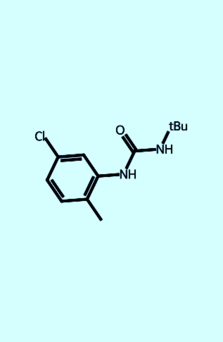 Cc1ccc(Cl)cc1NC(=O)NC(C)(C)C